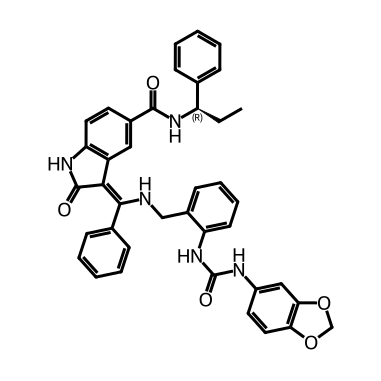 CC[C@@H](NC(=O)c1ccc2c(c1)C(=C(NCc1ccccc1NC(=O)Nc1ccc3c(c1)OCO3)c1ccccc1)C(=O)N2)c1ccccc1